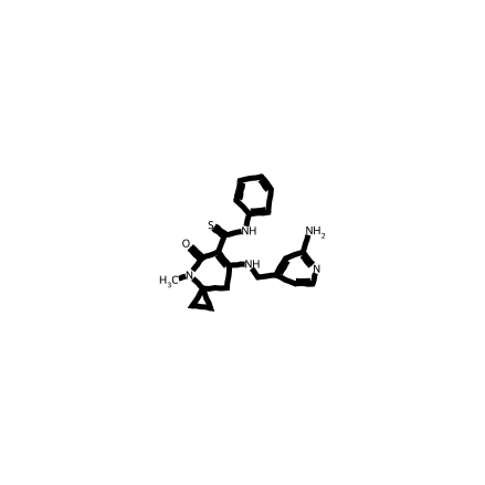 CN1C(=O)C(C(=S)Nc2ccccc2)=C(NCc2ccnc(N)c2)CC12CC2